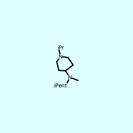 CCCC(C)N(C)C1CCN(C(C)C)CC1